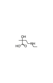 CCNCCC(C)(O)C(=O)O